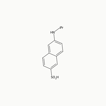 CC(C)Nc1ccc2cc(S(=O)(=O)O)ccc2c1